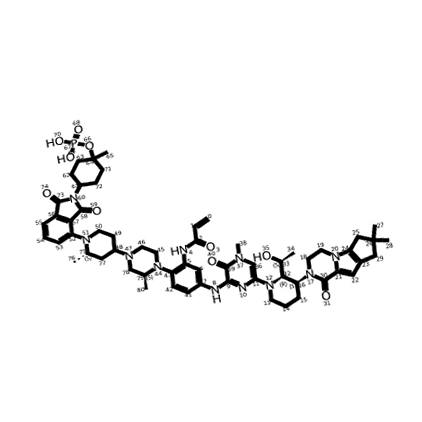 C=CC(=O)Nc1cc(Nc2nc(N3CCC[C@H](N4CCn5c(cc6c5CC(C)(C)C6)C4=O)[C@@H]3[C@H](C)O)cn(C)c2=O)ccc1N1CCN(C2CCN(c3cccc4c3C(=O)N(C3CCC(C)(OP(=O)(O)O)CC3)C4=O)[C@@H](C)C2)C[C@@H]1C